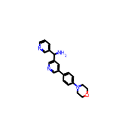 NC(c1cccnc1)c1cncc(-c2ccc(N3CCOCC3)cc2)c1